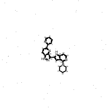 c1ccc(-c2ccc3[nH]nc(-c4cc5c(N6CCCCC6)nccc5[nH]4)c3n2)nc1